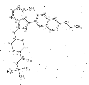 CCOc1ccc2cc(-c3nn(CC4CCN(C(=O)OC(C)(C)C)CC4)c4ncnc(N)c34)ccc2c1